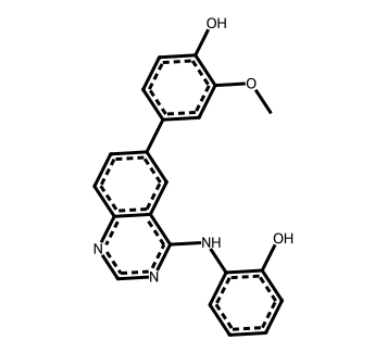 COc1cc(-c2ccc3ncnc(Nc4ccccc4O)c3c2)ccc1O